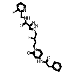 O=C(Cc1ccccc1)Nc1ccn(CCC(F)Cn2cc(C(=O)NCc3ncccc3F)nn2)c(=O)c1